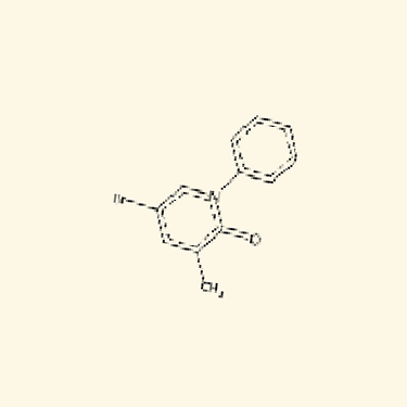 Cc1cc(Br)cn(-c2ccccc2)c1=O